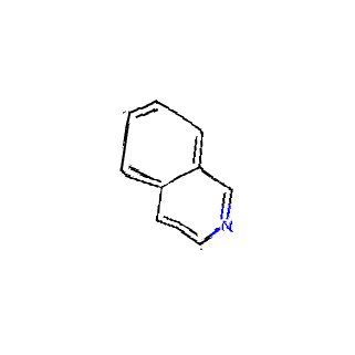 [c]1ccc2cn[c]cc2c1